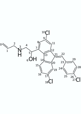 C=CCNCC(O)c1cc(Cl)cc2c1-c1ccc(Cl)cc1C2=Cc1ccc(Cl)cc1